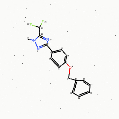 Cn1nc(-c2ccc(OCc3ccccc3)cc2)nc1C(F)F